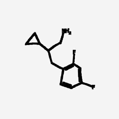 NCC(Cc1ccc(F)cc1F)C1CC1